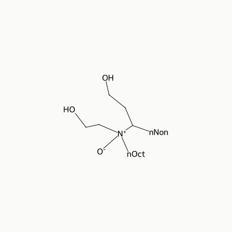 CCCCCCCCCC(CCO)[N+]([O-])(CCO)CCCCCCCC